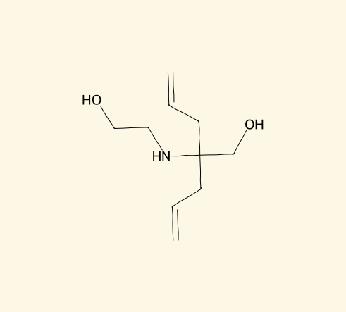 C=CCC(CO)(CC=C)NCCO